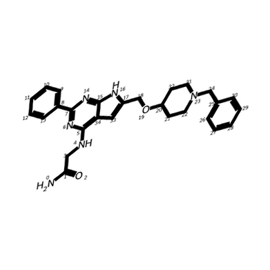 NC(=O)CNc1nc(-c2ccccc2)nc2[nH]c(COC3CCN(Cc4ccccc4)CC3)cc12